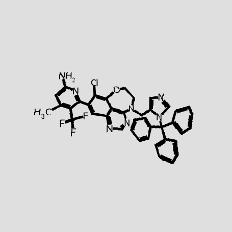 Cc1cc(N)nc(-c2cc3ncnc4c3c(c2Cl)OCCN4Cc2cncn2C(c2ccccc2)(c2ccccc2)c2ccccc2)c1C(F)(F)F